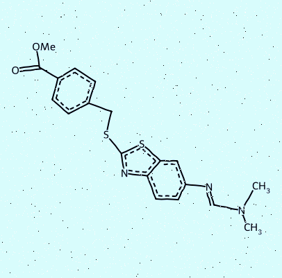 COC(=O)c1ccc(CSc2nc3ccc(/N=C/N(C)C)cc3s2)cc1